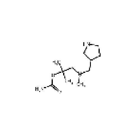 CN(CC1CCNC1)CC(C)(C)OC(N)=O